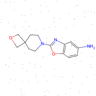 Nc1ccc2oc(N3CCC4(CC3)COC4)nc2c1